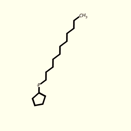 CCCCCCCCCCC[P]C1CCCC1